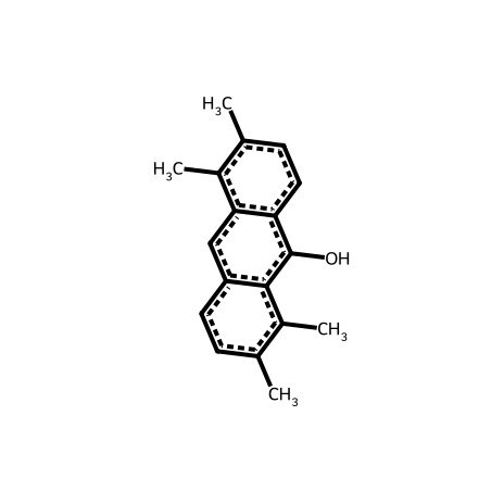 Cc1ccc2c(O)c3c(C)c(C)ccc3cc2c1C